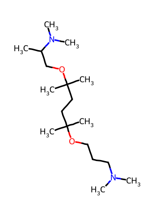 CC(COC(C)(C)CCC(C)(C)OCCCN(C)C)N(C)C